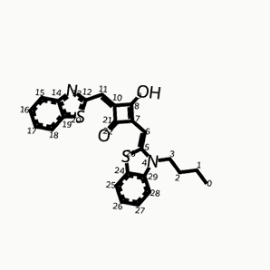 CCCCN1/C(=C/C2=C(O)C(=C/c3nc4ccccc4s3)/C2=O)Sc2ccccc21